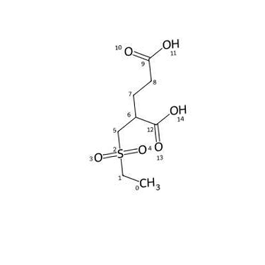 CCS(=O)(=O)CC(CCC(=O)O)C(=O)O